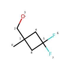 CC1(C[O])CC(F)(F)C1